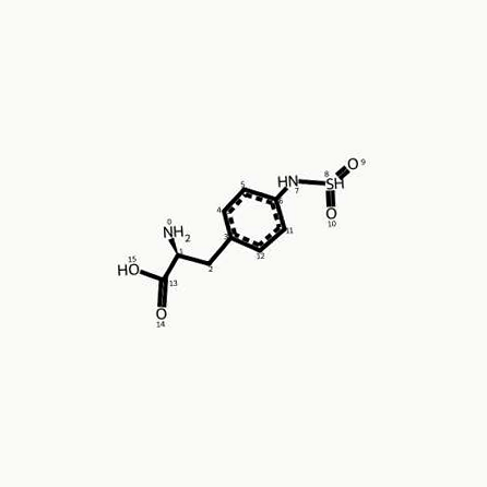 N[C@@H](Cc1ccc(N[SH](=O)=O)cc1)C(=O)O